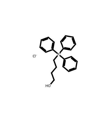 OCCCC[P+](c1ccccc1)(c1ccccc1)c1ccccc1.[Cl-]